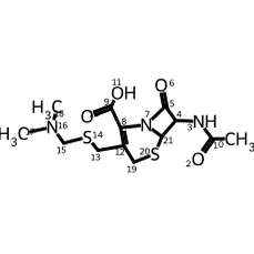 CC(=O)NC1C(=O)N2C(C(=O)O)=C(CSCN(C)C)CSC12